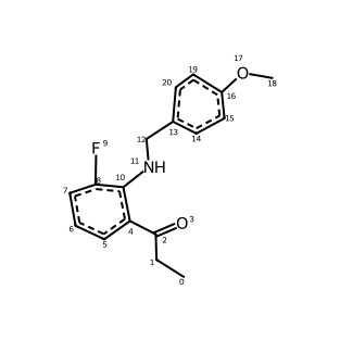 CCC(=O)c1cccc(F)c1NCc1ccc(OC)cc1